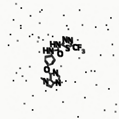 Cn1ccc2ncnc(Oc3ccc(NC(=O)Nc4nnc(C(F)(F)F)s4)cc3)c21